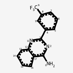 Nc1nc(-c2cccc(C(F)(F)F)c2)nc2ccccc12